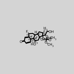 COC(O)(OC)O[C@]1(C(=O)CO)[C@H](C)C[C@H]2[C@@H]3C[C@H](F)C4=CC(=O)C=C[C@]4(C)[C@@]3(F)[C@@H](O)C[C@@]21C